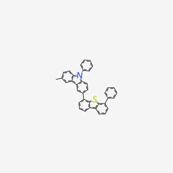 Cc1ccc2c(c1)c1cc(-c3cccc4c3sc3c(-c5ccccc5)cccc34)ccc1n2-c1ccccc1